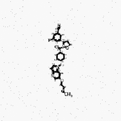 COCCOc1cnc2ccn(C[C@H]3CC[C@H](C(=O)N4OCC[C@H]4c4cc(F)cc(C#N)c4)CC3)c2c1